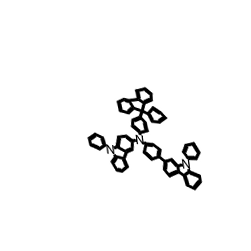 c1ccc(-n2c3ccccc3c3cc(N(c4ccc(-c5ccc6c7ccccc7n(-c7ccccc7)c6c5)cc4)c4ccc(C5(c6ccccc6)c6ccccc6-c6ccccc65)cc4)ccc32)cc1